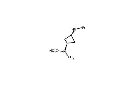 CC(C)N[C@H]1C[C@@H](N(C)C(=O)O)C1